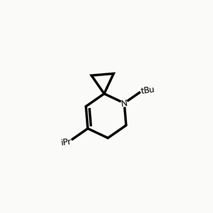 CC(C)C1=CC2(CC2)N(C(C)(C)C)CC1